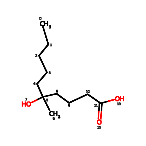 CCCCCC(C)(O)CCCC(=O)O